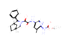 Cc1cc(NC(=O)C(=O)N2C[C@@H]3CC[C@@H](C3)[C@@]2(C)c2ccccc2)cnc1NC(=O)OC(C)(C)C